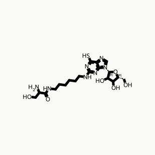 NC(CO)C(=O)NCCCCCCNc1nc(S)c2ncn([C@@H]3O[C@H](CO)C(O)C3O)c2n1